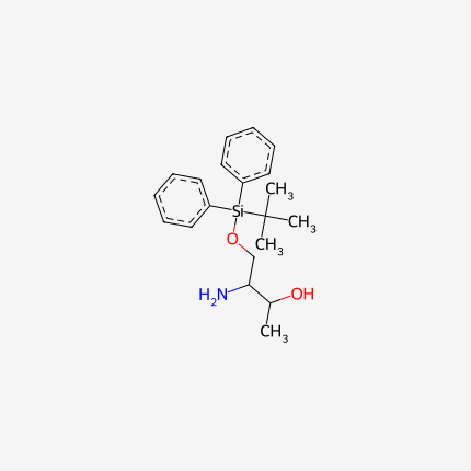 CC(O)C(N)CO[Si](c1ccccc1)(c1ccccc1)C(C)(C)C